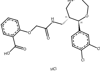 Cl.O=C(COc1ccccc1C(=O)O)NC[C@@H]1CNCCO[C@H]1c1ccc(Cl)c(Cl)c1